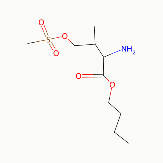 CCCCOC(=O)C(N)C(C)COS(C)(=O)=O